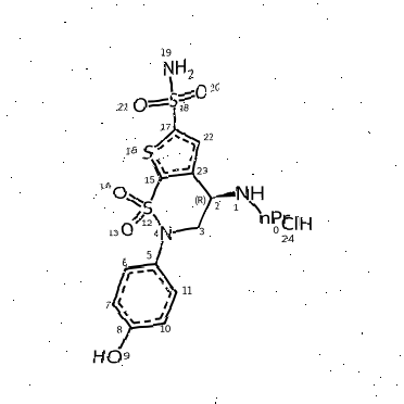 CCCN[C@H]1CN(c2ccc(O)cc2)S(=O)(=O)c2sc(S(N)(=O)=O)cc21.Cl